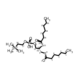 CCCCCCC(=O)SC[C@H](COP(=O)(O)OCC[N+](C)(C)C)SC(=O)CCCCCC